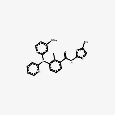 CNc1cc(N(c2ccncn2)c2cccc(C(=O)Nc3nc(C(C)(C)C)cs3)c2C)ncn1